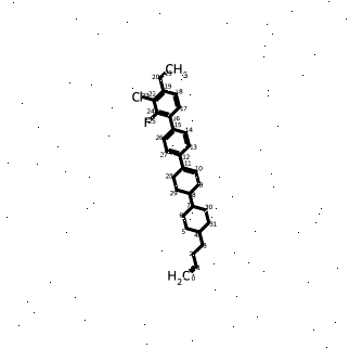 C=CCCC1CCC(C2CC=C(c3ccc(-c4ccc(CC)c(Cl)c4F)cc3)CC2)CC1